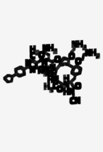 Cc1nc(-c2ccc(C3CCCC3)cc2)nc(C)c1C(=O)NC(CCN)C(=O)N(C)C1C(=O)NC(C)C(=O)NC(C(=O)NCC#N)Cc2ccc(OCCN)c(c2)-c2cc1ccc2OCCN